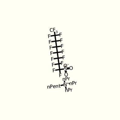 CCCCC[N+](CCC)(CCC)CCC.O=S(=O)([O-])C(F)(F)C(F)(F)C(F)(F)C(F)(F)C(F)(F)C(F)(F)C(F)(F)C(F)(F)F